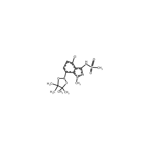 Cn1nc(NS(C)(=O)=O)c2c(Cl)ccc(B3OC(C)(C)C(C)(C)O3)c21